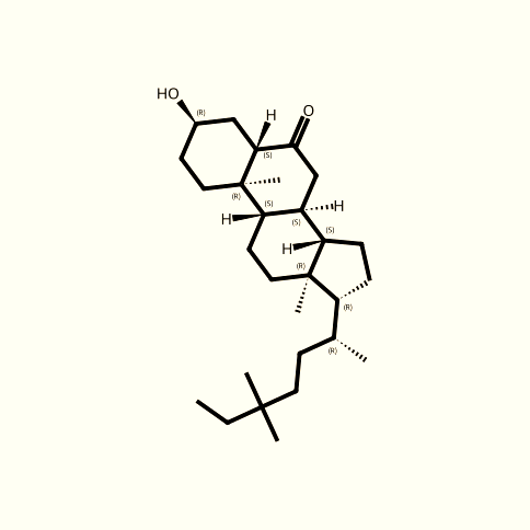 CCC(C)(C)CC[C@@H](C)[C@H]1CC[C@H]2[C@@H]3CC(=O)[C@H]4C[C@H](O)CC[C@]4(C)[C@H]3CC[C@]12C